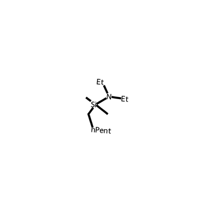 CCCCCC[Si](C)(C)N(CC)CC